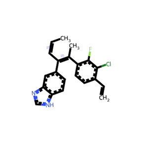 C=Cc1ccc(/C(C)=C(/C=C\C)c2ccc3[nH]cnc3c2)c(F)c1Cl